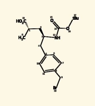 C[C@@H](C[C@H](Cc1ccc(CBr)cc1)NC(=O)OC(C)(C)C)C(=O)O